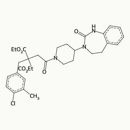 CCOC(=O)C(CC(=O)N1CCC(N2CCc3ccccc3NC2=O)CC1)(Cc1ccc(Cl)c(C)c1)C(=O)OCC